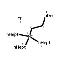 CCCCCCCCCCCC[N+](CCCCCCC)(CCCCCCC)CCCCCCC.[Cl-]